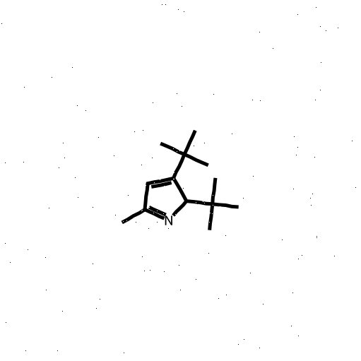 CC1=NC(C(C)(C)C)C(C(C)(C)C)=C1